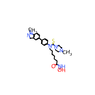 CN1CCN(C(=S)N(CCCCCCC(=O)NO)c2ccc(-c3ccc4c(cnn4C)c3)cc2)CC1